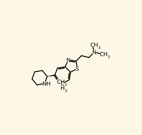 C=C(/C=c1/nc(CCN(C)C)s/c1=C/C)[C@@H]1CCCCN1